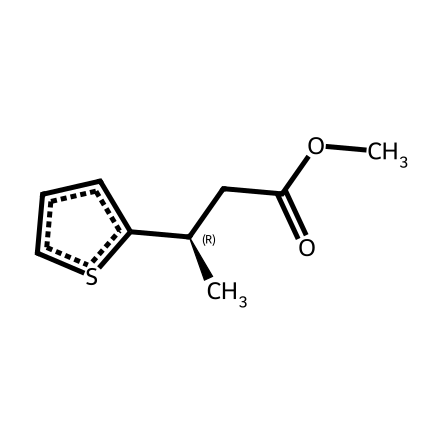 COC(=O)C[C@@H](C)c1cccs1